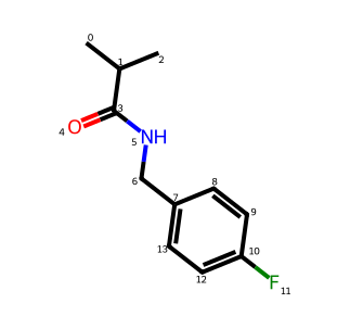 CC(C)C(=O)NCc1ccc(F)cc1